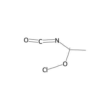 C[C](N=C=O)OCl